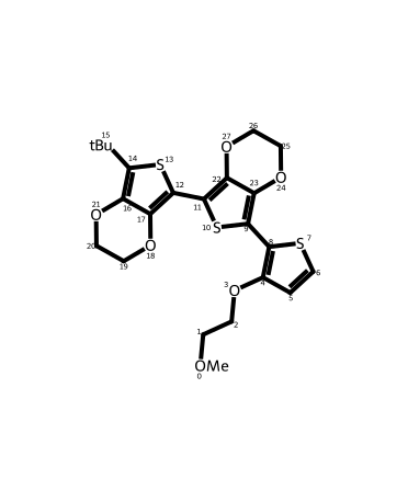 COCCOc1ccsc1-c1sc(-c2sc(C(C)(C)C)c3c2OCCO3)c2c1OCCO2